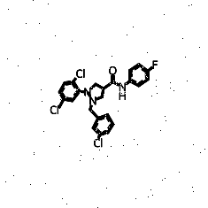 O=C(Nc1ccc(F)cc1)C1CN(Cc2cccc(Cl)c2)N(c2cc(Cl)ccc2Cl)C1